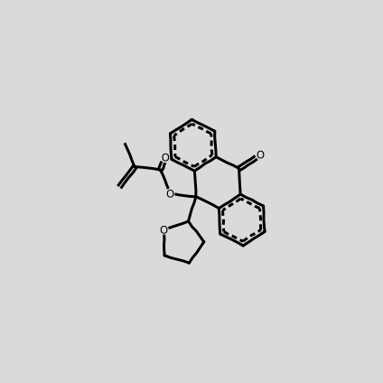 C=C(C)C(=O)OC1(C2CCCO2)c2ccccc2C(=O)c2ccccc21